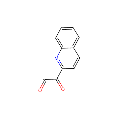 O=[C]C(=O)c1ccc2ccccc2n1